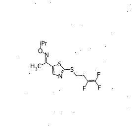 C/C(=N\OC(C)C)c1cnc(SCCC(F)=C(F)F)s1